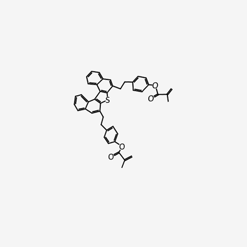 C=C(C)C(=O)Oc1ccc(CCc2cc3ccccc3c3c2sc2c(CCc4ccc(OC(=O)C(=C)C)cc4)cc4ccccc4c23)cc1